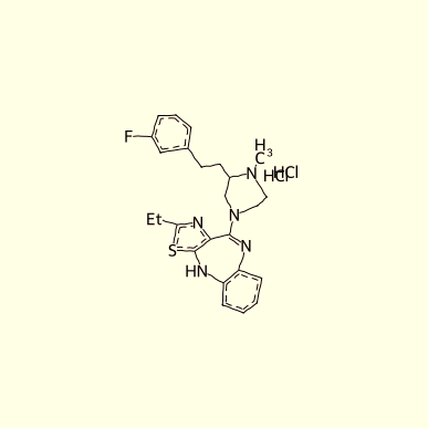 CCc1nc2c(s1)Nc1ccccc1N=C2N1CCN(C)C(CCc2cccc(F)c2)C1.Cl.Cl